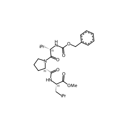 COC(=O)[C@H](CC(C)C)NC(=O)[C@@H]1CCCN1C(=O)[C@@H](NC(=O)OCc1ccccc1)C(C)C